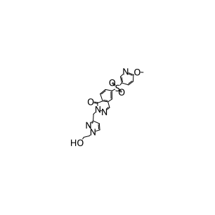 COc1ccc(S(=O)(=O)c2ccc3c(=O)n(Cc4ccn(CCO)n4)ncc3c2)cn1